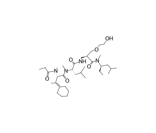 CCC(=O)N(C)[C@H](C(=O)N(C)[C@@H](CC(C)C)C(=O)NC[C@@H](COCCO)C(=O)N(C)[C@H](CC)CC(C)C)C(C)=C1CCCCC1